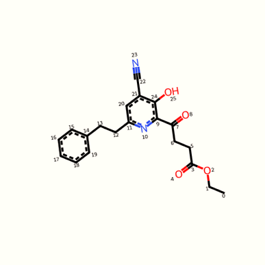 CCOC(=O)CCC(=O)c1nc(CCc2ccccc2)cc(C#N)c1O